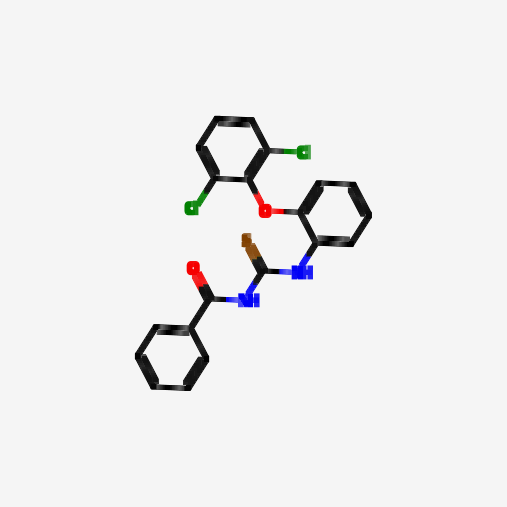 O=C(NC(=S)Nc1ccccc1Oc1c(Cl)cccc1Cl)c1ccccc1